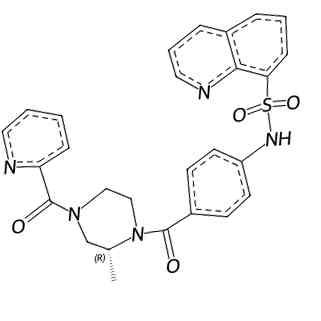 C[C@@H]1CN(C(=O)c2ccccn2)CCN1C(=O)c1ccc(NS(=O)(=O)c2cccc3cccnc23)cc1